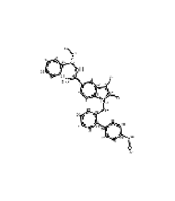 CC[C@H](NC(=O)c1ccc2c(c1)c(C)c(C)n2Cc1ccccc1-c1ccc(C=O)cc1)c1ccccc1